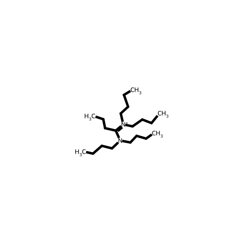 CCCCN(CCCC)C(CCC)=[N+](CCCC)CCCC